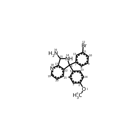 COc1ccc(C2(c3cccc(Br)c3)NC(N)c3ncccc32)cc1